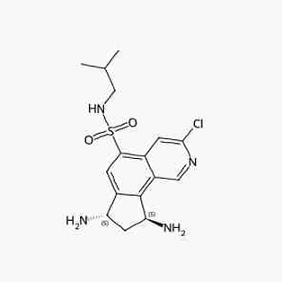 CC(C)CNS(=O)(=O)c1cc2c(c3cnc(Cl)cc13)[C@@H](N)C[C@@H]2N